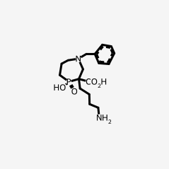 NCCCCC1(C(=O)O)CN(Cc2ccccc2)CCCP1(=O)O